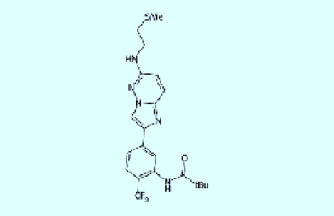 CSCCNc1ccc2nc(-c3ccc(C(F)(F)F)c(NC(=O)C(C)(C)C)c3)cn2n1